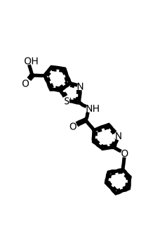 O=C(O)c1ccc2nc(NC(=O)c3ccc(Oc4ccccc4)nc3)sc2c1